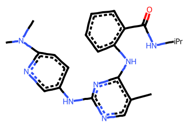 Cc1cnc(Nc2ccc(N(C)C)nc2)nc1Nc1ccccc1C(=O)NC(C)C